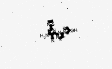 N#Cc1c(N)cc(-c2nccs2)nc1-c1nccc(N2CC[C@@H](O)C2)n1